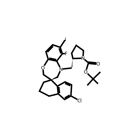 CC(C)(C)OC(=O)N1CCC[C@H]1CN1C[C@@]2(CCCc3cc(Cl)ccc32)COc2ccc(I)c(F)c21